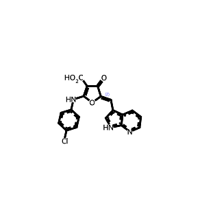 O=C(O)C1=C(Nc2ccc(Cl)cc2)O/C(=C\c2c[nH]c3ncccc23)C1=O